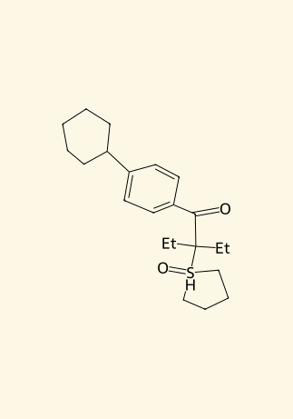 CCC(CC)(C(=O)c1ccc(C2CCCCC2)cc1)[SH]1(=O)CCCC1